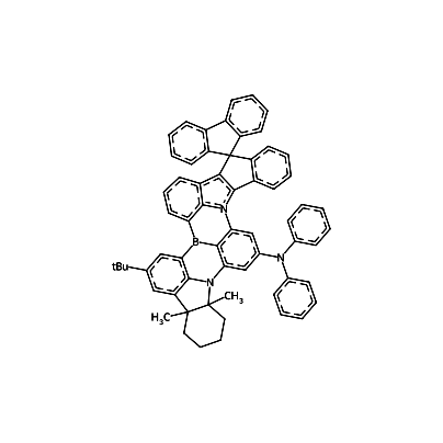 CC(C)(C)c1cc2c3c(c1)C1(C)CCCCC1(C)N3c1cc(N(c3ccccc3)c3ccccc3)cc3c1B2c1cccc2c4c(n-3c12)-c1ccccc1C41c2ccccc2-c2ccccc21